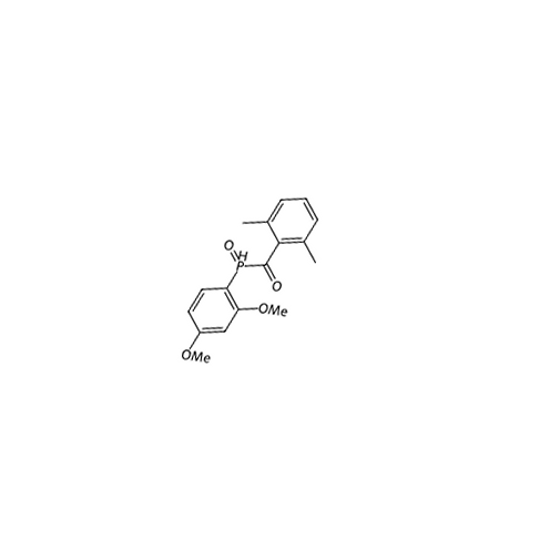 COc1ccc([PH](=O)C(=O)c2c(C)cccc2C)c(OC)c1